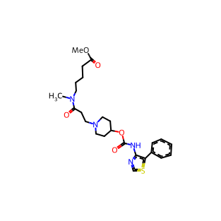 COC(=O)CCCCN(C)C(=O)CCN1CCC(OC(=O)Nc2ncsc2-c2ccccc2)CC1